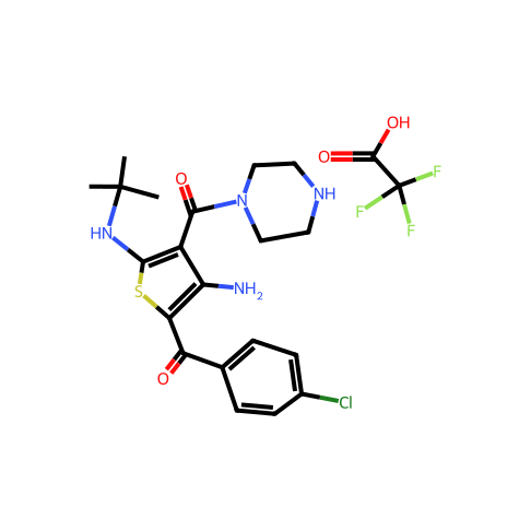 CC(C)(C)Nc1sc(C(=O)c2ccc(Cl)cc2)c(N)c1C(=O)N1CCNCC1.O=C(O)C(F)(F)F